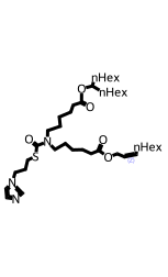 CCCCCC/C=C\COC(=O)CCCCCN(CCCCCC(=O)OC(CCCCCC)CCCCCC)C(=O)SCCCn1ccnc1